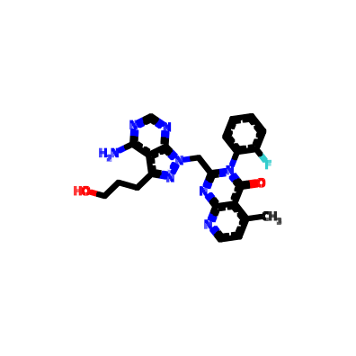 Cc1ccnc2nc(Cn3nc(CCCO)c4c(N)ncnc43)n(-c3ccccc3F)c(=O)c12